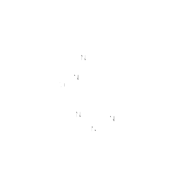 [Sn].c1cnnc2nnnc-2c1